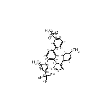 Cc1ccc(-c2cnnn2-c2cc(-c3cccc(S(C)(=O)=O)c3)ccc2-n2cc(C(F)(F)F)nc2C)cc1